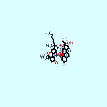 CCCCCCC(C)(C)c1cc(O)c2c(c1)OC(C)(C)[C@@H]1CCC(=O)C[C@@H]21.C[C@]12C=CC(=O)C=C1CC[C@H]1[C@@H]3C[C@@H](O)[C@](O)(C(=O)CO)[C@@]3(C)C[C@H](O)[C@@]12F